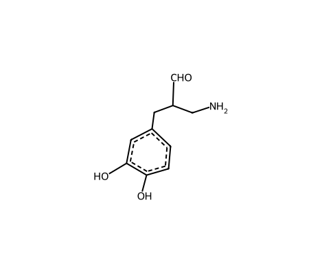 NCC(C=O)Cc1ccc(O)c(O)c1